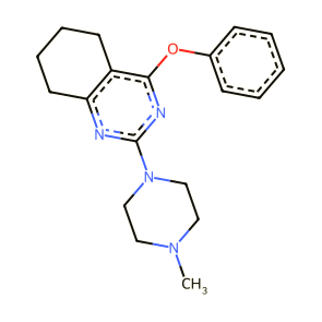 CN1CCN(c2nc3c(c(Oc4ccccc4)n2)CCCC3)CC1